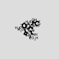 C[C@@H](Nc1nc(C(=N)NC(=O)O)nc2nc(C(C)(O)C3CCOCC3)n(C[C@H]3CC[C@H](C)CC3)c12)C1CCC1